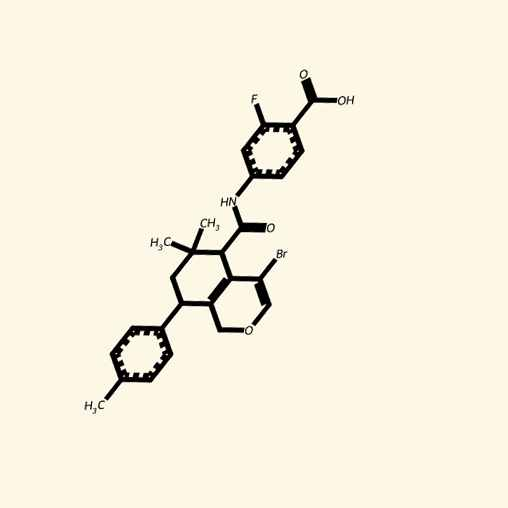 Cc1ccc(C2CC(C)(C)C(C(=O)Nc3ccc(C(=O)O)c(F)c3)C3=C2COC=C3Br)cc1